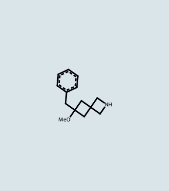 COC1(Cc2ccccc2)CC2(CNC2)C1